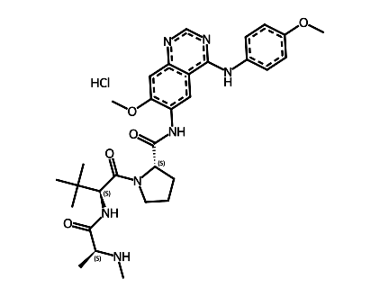 CN[C@@H](C)C(=O)N[C@H](C(=O)N1CCC[C@H]1C(=O)Nc1cc2c(Nc3ccc(OC)cc3)ncnc2cc1OC)C(C)(C)C.Cl